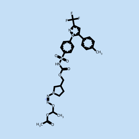 CC(=O)OC(C)O/N=N\N1CCC(COC(=O)NS(=O)(=O)c2ccc(-n3nc(C(F)(F)F)cc3-c3ccc(C)cc3)cc2)C1